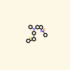 c1ccc(-c2nc3c(ccc4ccc(N(c5ccccc5)c5ccc(-c6cccc7c6sc6ccccc67)cc5)cc43)o2)cc1